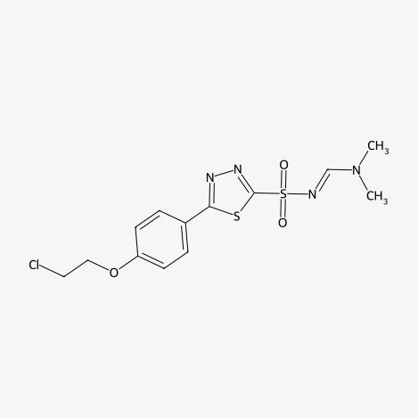 CN(C)C=NS(=O)(=O)c1nnc(-c2ccc(OCCCl)cc2)s1